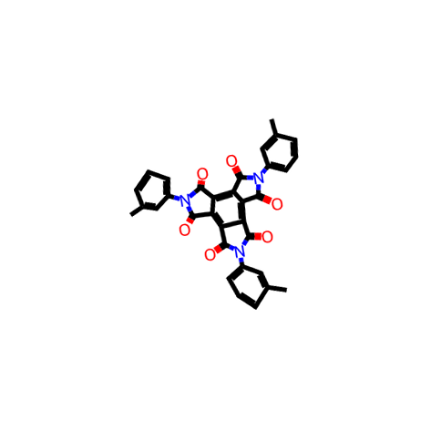 Cc1cccc(-n2c(=O)c3c4c(=O)n(-c5cccc(C)c5)c(=O)c4c4c(=O)n(-c5cccc(C)c5)c(=O)c4c3c2=O)c1